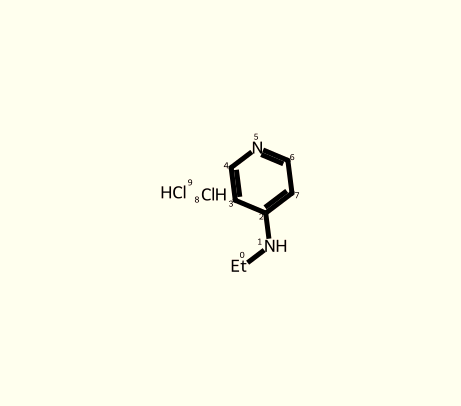 CCNc1ccncc1.Cl.Cl